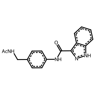 CC(=O)NCc1ccc(NC(=O)c2n[nH]c3ccccc23)cc1